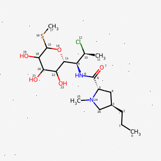 CCC[C@@H]1C[C@@H](C(=O)N[C@H]([C@H](C)Cl)[C@H]2OC(SC)C(O)C(O)C2O)N(C)C1